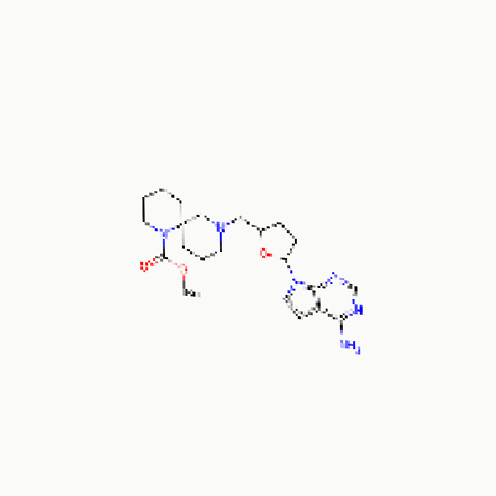 CC(C)(C)OC(=O)N1CCCCC12CCCN(CC1CCC(n3ccc4c(N)ncnc43)O1)C2